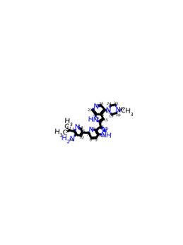 CC(C)c1ncc(-c2ccc3[nH]nc(-c4cc5c(N6CCN(C)CC6)cncc5[nH]4)c3n2)cc1N